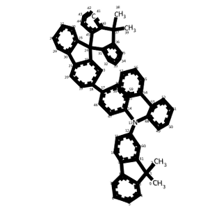 CC1(C)c2ccccc2-c2ccc(N(c3ccc(-c4ccc5c(c4)C4(c6ccccc6-5)c5ccccc5C(C)(C)c5ccccc54)cc3)c3ccccc3-c3ccccc3)cc21